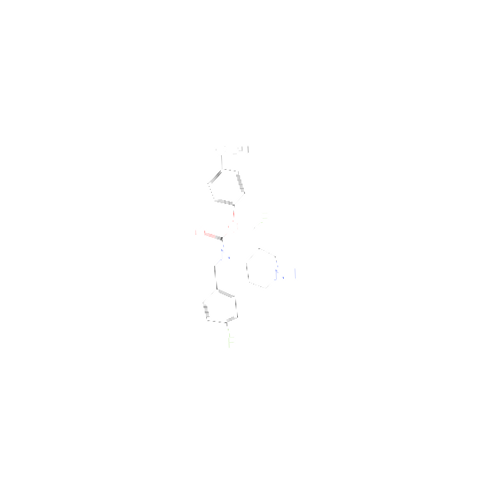 CC(C)COc1ccc(OC(=O)N(Cc2ccc(F)cc2)[C@H]2CCNC[C@H]2CF)cc1